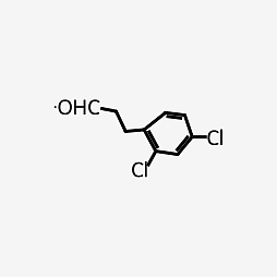 O=[C]CCc1ccc(Cl)cc1Cl